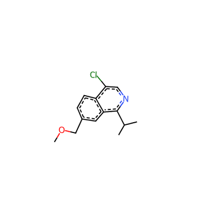 COCc1ccc2c(Cl)cnc(C(C)C)c2c1